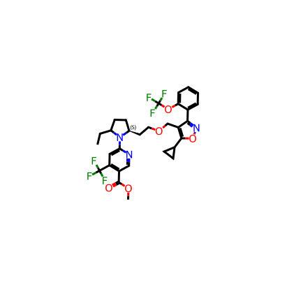 CCC1CC[C@@H](CCOCc2c(-c3ccccc3OC(F)(F)F)noc2C2CC2)N1c1cc(C(F)(F)F)c(C(=O)OC)cn1